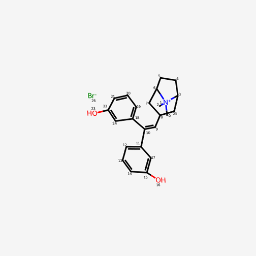 C[N+]1(C)C2CCC1CC(C=C(c1cccc(O)c1)c1cccc(O)c1)C2.[Br-]